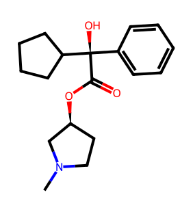 CN1CC[C@H](OC(=O)[C@@](O)(c2ccccc2)C2CCCC2)C1